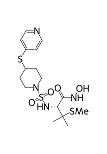 CSC(C)(C)[C@H](NS(=O)(=O)N1CCC(Sc2ccncc2)CC1)C(=O)NO